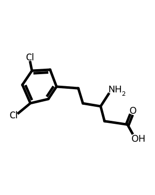 NC(CCc1cc(Cl)cc(Cl)c1)CC(=O)O